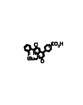 CC(C)(C)Cn1c(=O)cc(C2CCN(C(=O)O)CC2)c2cc(Cl)c(-c3ccccc3F)nc21